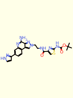 CC(C)(C)OC(=O)Nc1nc(C(=O)NCCn2cc3c(n2)c(N)nc2cc(-c4cc[nH]n4)ccc23)cs1